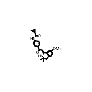 COc1ccc2c(c1)C(=CC(=O)c1ccc(NC(=O)C3CC3)cc1)NC(C)(C)C2